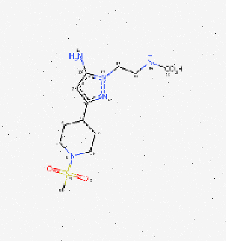 CS(=O)(=O)N1CCC(c2cc(N)n(CCNC(=O)O)n2)CC1